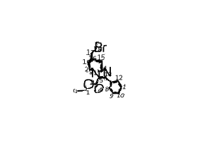 CCOC(=O)c1c(-c2ccccc2)nc2cc(CBr)ccn12